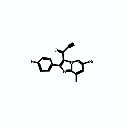 C#CC(=O)c1c(-c2ccc(F)cc2)nc2c(C)cc(Br)cn12